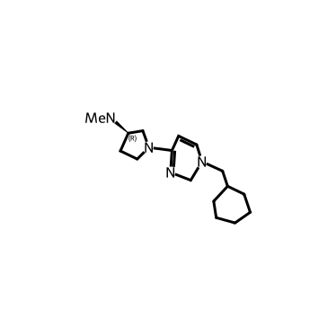 CN[C@@H]1CCN(C2=NCN(CC3CCCCC3)C=C2)C1